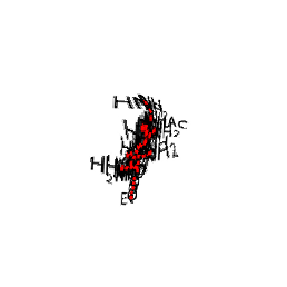 CCOCCOCCOCCNC(=O)[C@H]1CCCN1C(=O)C(CCCNC(=N)N)NC(=O)C1CCCN1C(=O)C(CCCNC(=N)N)NC(=O)[C@H]1CCCN1C(=O)C(CCCNC(=N)N)NC(=O)C1CCCN1C(=O)C(CCCNC(=N)N)NC(C)=O